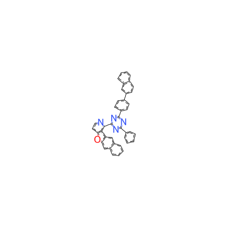 c1ccc(-c2nc(-c3ccc(-c4ccc5ccccc5c4)cc3)nc(-c3nccc4oc5cc6ccccc6cc5c34)n2)cc1